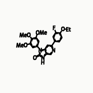 CCOc1ccc(-c2cc3c(cn2)[nH]c(=O)n3-c2cc(OC)c(OC)c(OC)c2)cc1F